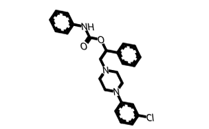 O=C(Nc1ccccc1)OC(CN1CCN(c2cccc(Cl)c2)CC1)c1ccccc1